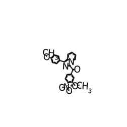 COc1ccc(-c2nc(C(=O)c3ccc([N+](=O)[O-])c(OC)c3)n3ccccc23)cc1